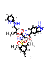 Cc1cc(C)c(S(=O)(=O)NC(C)(NC(=O)c2ccc3[nH]ncc3c2)C(=O)OC(C)CCNc2ccccn2)c(C)c1